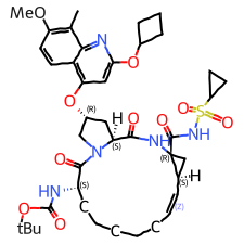 COc1ccc2c(O[C@@H]3C[C@H]4C(=O)N[C@]5(C(=O)NS(=O)(=O)C6CC6)C[C@H]5/C=C\CCCCC[C@H](NC(=O)OC(C)(C)C)C(=O)N4C3)cc(OC3CCC3)nc2c1C